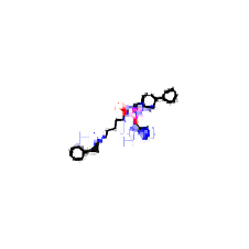 O=C(NC(CCCCNC1CC1c1ccccc1)C(=O)NCc1ccc(-c2ccccc2)cc1)c1cnc[nH]1